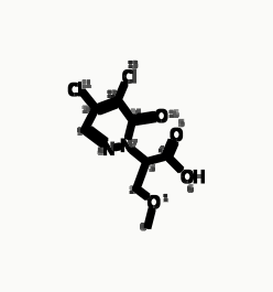 COCC(C(=O)O)n1ncc(Cl)c(Cl)c1=O